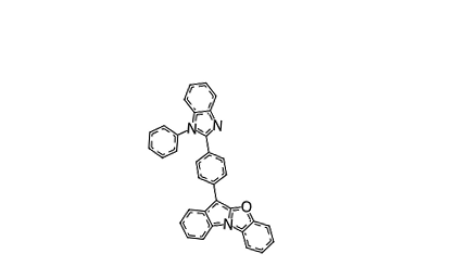 c1ccc(-n2c(-c3ccc(-c4c5ccccc5n5c4oc4ccccc45)cc3)nc3ccccc32)cc1